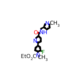 CCOC(=O)N(C)c1ccc(-c2ccc(C(=O)NCc3ccc(C)nc3)cn2)cc1F